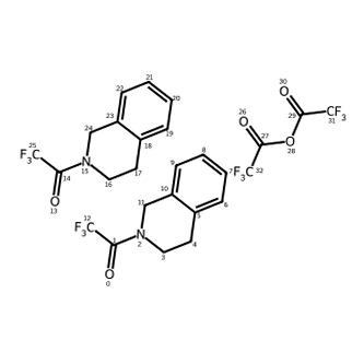 O=C(N1CCc2ccccc2C1)C(F)(F)F.O=C(N1CCc2ccccc2C1)C(F)(F)F.O=C(OC(=O)C(F)(F)F)C(F)(F)F